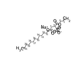 C=CCOC(=O)C(CC(=O)OCCCCCCCCCCCC)S(=O)(=O)[O-].[Na+]